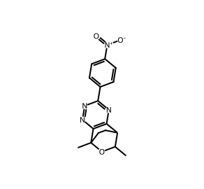 CC1OC2(C)CCC1c1nc(-c3ccc([N+](=O)[O-])cc3)nnc12